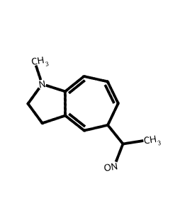 CC(N=O)C1C=CC=C2C(=C1)CCN2C